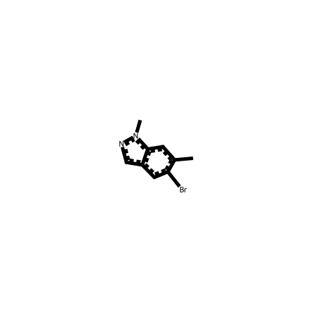 Cc1cc2c(cnn2C)cc1Br